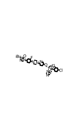 CC[C@@H](C)n1ncn(-c2ccc(N3CCN(c4ccc(OC[C@@H]5CO[C@@](Cn6cncn6)(c6ccc(Cl)cc6Cl)O5)cn4)CC3)c(F)c2)c1=O